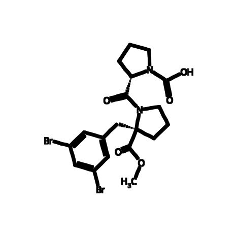 COC(=O)[C@]1(Cc2cc(Br)cc(Br)c2)CCCN1C(=O)[C@@H]1CCCN1C(=O)O